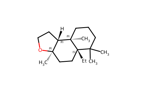 CC[C@@]12CC[C@@]3(C)OCC[C@@H]3[C@@]1(C)CCCC2(C)C